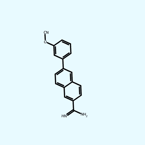 N#COc1cccc(-c2ccc3cc(C(=N)N)ccc3c2)c1